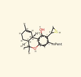 CCCCCc1cc2c(c(O)c1C1CS1)[C@H]1C=C(C)CC[C@@H]1C(C)(C)O2